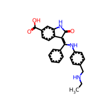 CCNCc1ccc(N/C(=C2\C(=O)Nc3cc(C(=O)O)ccc32)c2ccccc2)cc1